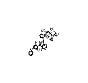 CC(C)(/C=C(/C#N)C(=O)N1CCC[C@@H]1Cn1nc(-c2ccc(Oc3ccccc3)cc2F)c2c(N)ncnc21)N(C1CC1)C1COC1